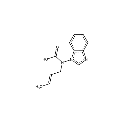 CC=CCN(C(=O)O)n1cnc2ccccc21